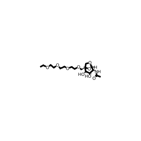 CCOCCOCCOCCOC[C@@]12CO[C@@H](O1)[C@H](NC(C)=O)[C@@H](O)[C@H]2O